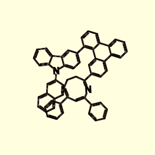 C1=C(c2ccccc2)\N=C(\c2ccc3c4ccccc4c4cccc(-c5ccc6c(c5)c5ccccc5n6-c5ccc6ccccc6c5)c4c3c2)CC\C=C/1c1ccccc1